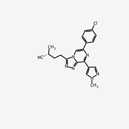 C[C@@H](C#N)CCc1nnc2c(-c3cnn(C)c3)nc(-c3ccc(Cl)cc3)cn12